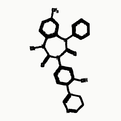 CCN1C(=O)N(c2ccc(C3=CN=CCC3)c(O)c2)C(=O)N(c2ccccc2)c2cc(C(F)(F)F)ccc21